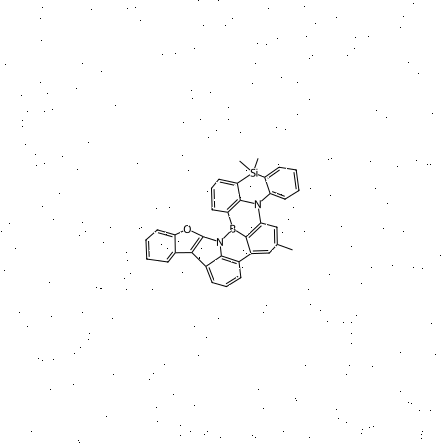 Cc1cc2c3c(c1)N1c4ccccc4[Si](C)(C)c4cccc(c41)B3n1c3oc4ccccc4c3c3cccc-2c31